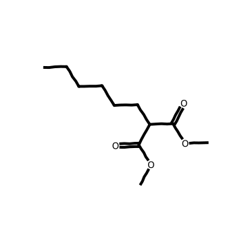 CCCCCCC(C(=O)OC)C(=O)OC